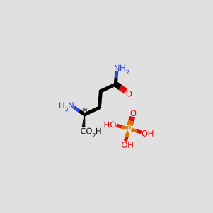 NC(=O)CC[C@H](N)C(=O)O.O=P(O)(O)O